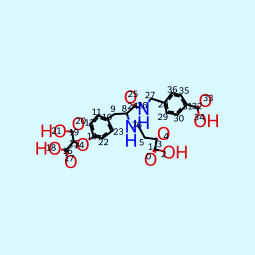 O=C(O)C(=O)CCNC(Cc1ccc(OC(C(=O)O)C(=O)O)cc1)C(=O)NCc1ccc(C(=O)O)cc1